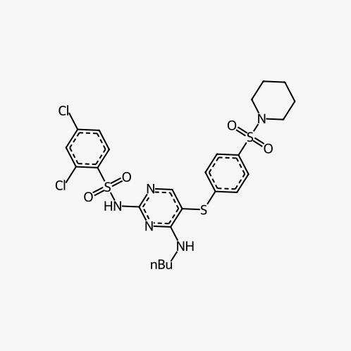 CCCCNc1nc(NS(=O)(=O)c2ccc(Cl)cc2Cl)ncc1Sc1ccc(S(=O)(=O)N2CCCCC2)cc1